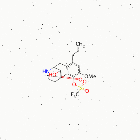 C=CCc1cc(OC)c(OS(=O)(=O)C(F)(F)F)c2c1CC1NCCC23CC(=O)CCC13O